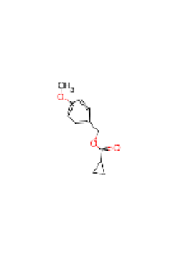 COc1ccc(COC(=O)C2CC2)cc1